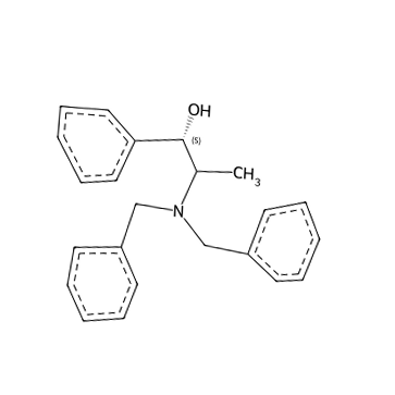 CC([C@@H](O)c1ccccc1)N(Cc1ccccc1)Cc1ccccc1